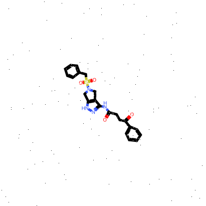 O=C(CCC(=O)c1ccccc1)Nc1n[nH]c2c1CN(S(=O)(=O)Cc1ccccc1)C2